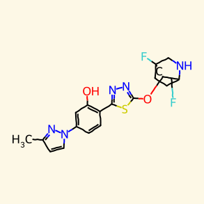 Cc1ccn(-c2ccc(-c3nnc(OC4CC5(F)CCC(NC5)C4F)s3)c(O)c2)n1